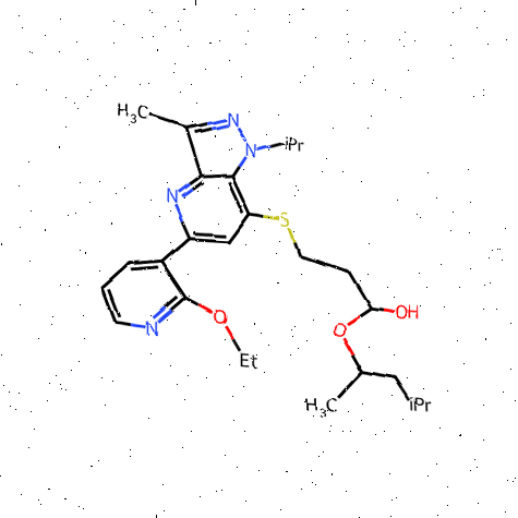 CCOc1ncccc1-c1cc(SCCC(O)OC(C)CC(C)C)c2c(n1)c(C)nn2C(C)C